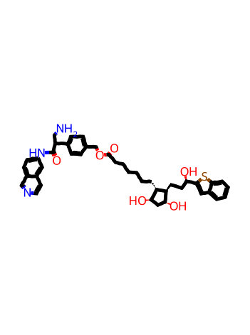 NCC(C(=O)Nc1ccc2cnccc2c1)c1ccc(COC(=O)CCCCCC[C@@H]2[C@@H](CC[C@@H](O)c3cc4ccccc4s3)[C@H](O)C[C@@H]2O)cc1